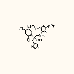 CCCc1cc(C(=O)OCC)c(NCC(O)(Cn2cncn2)c2ccc(Cl)cc2Cl)s1